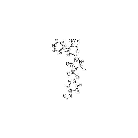 COc1ccc(N2N=C(C)C(C(=O)Oc3ccc([N+](=O)[O-])cc3)C2=O)cc1-c1ccncc1